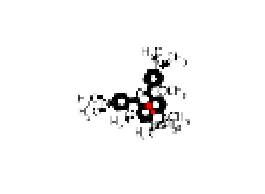 CCN(CC)c1ccc(C(OC(c2ccc(N(C)C)cc2)c2ccc(N(CC)CC)cc2OC)c2ccc(N(C)C)cc2)c(OC)c1